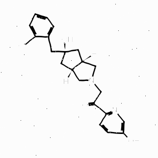 O=C(CN1C[C@@H]2C[C@](O)(Cc3ccccc3Cl)C[C@@H]2C1)c1ccc(O)cn1